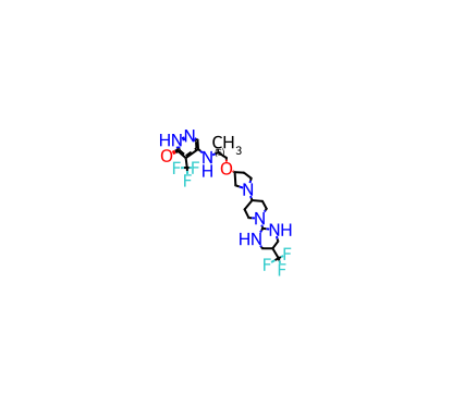 C[C@@H](COC1CCN(C2CCN(C3NCC(C(F)(F)F)CN3)CC2)C1)Nc1cn[nH]c(=O)c1C(F)(F)F